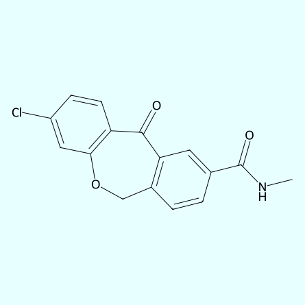 CNC(=O)c1ccc2c(c1)C(=O)c1ccc(Cl)cc1OC2